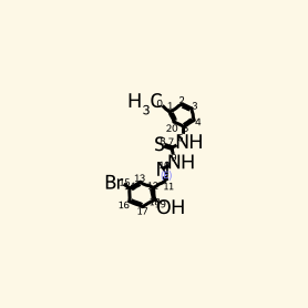 Cc1cccc(NC(=S)N/N=C/c2cc(Br)ccc2O)c1